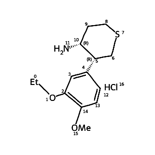 CCOc1cc([C@H]2CSCC[C@H]2N)ccc1OC.Cl